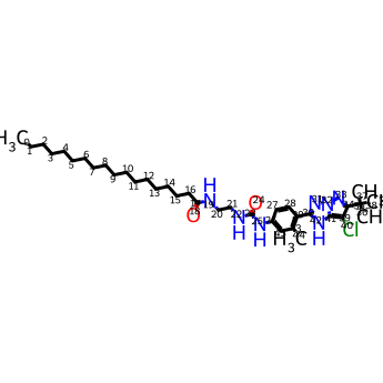 CCCCCCCCCCCCCCCCCC(=O)NCCNC(=O)Nc1ccc(-c2nn3nc(C(C)(C)C)c(Cl)c3[nH]2)c(C)c1